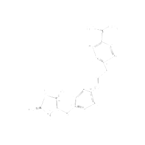 CC(O)c1ccc(CCOc2ccc(CC3NC(=O)SC3=O)cc2)nc1